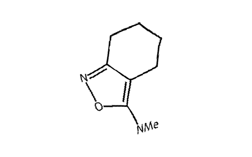 CNc1onc2c1CCCC2